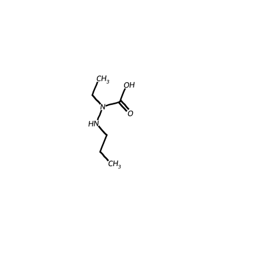 CCCNN(CC)C(=O)O